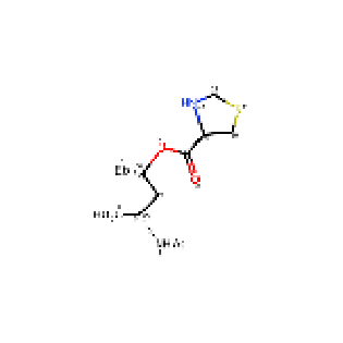 CC[C@@H](C[C@H](NC(C)=O)C(=O)O)OC(=O)C1CSCN1